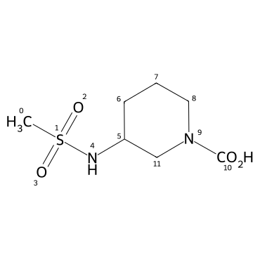 CS(=O)(=O)NC1CCCN(C(=O)O)C1